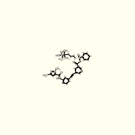 Cc1cc(C(=O)Nc2cccc(C#Cc3cncc(C(=O)N=[S@](=O)(CCCCC(C)(C)[Si](C)(C)O)c4ccccc4)c3)c2)n(C)n1